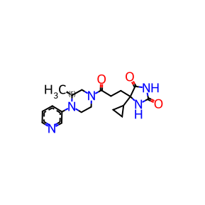 C[C@H]1CN(C(=O)CCC2(C3CC3)NC(=O)NC2=O)CCN1c1cccnc1